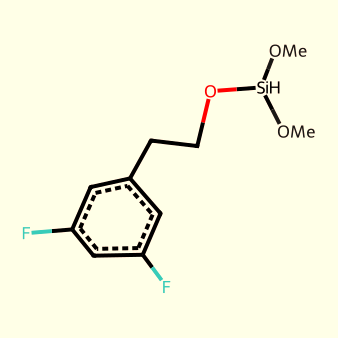 CO[SiH](OC)OCCc1cc(F)cc(F)c1